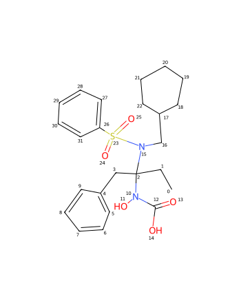 CCC(Cc1ccccc1)(N(O)C(=O)O)N(CC1CCCCC1)S(=O)(=O)c1ccccc1